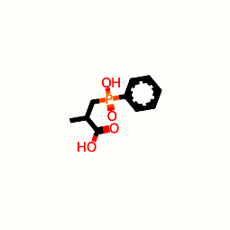 CC(CP(=O)(O)c1ccccc1)C(=O)O